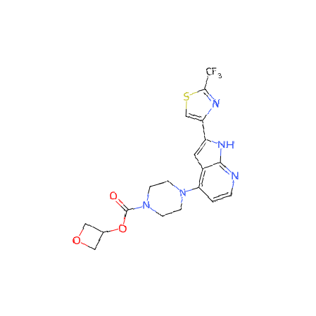 O=C(OC1COC1)N1CCN(c2ccnc3[nH]c(-c4csc(C(F)(F)F)n4)cc23)CC1